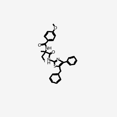 COc1ccc(C(=O)NC(C)(CI)C(=O)Nc2nc(-c3ccccc3)c(Cc3ccccc3)s2)cc1